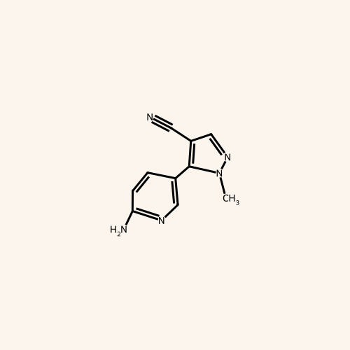 Cn1ncc(C#N)c1-c1ccc(N)nc1